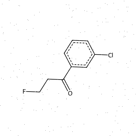 O=C(CCF)c1cccc(Cl)c1